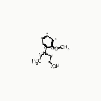 CCN(CCO)c1ccccc1OC